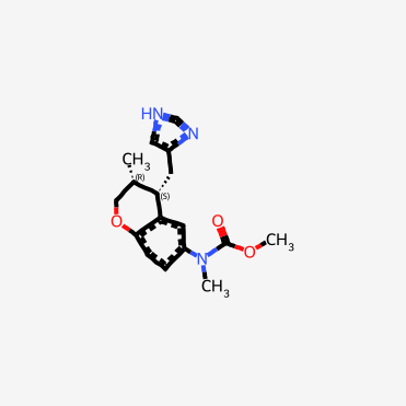 COC(=O)N(C)c1ccc2c(c1)[C@@H](Cc1c[nH]cn1)[C@@H](C)CO2